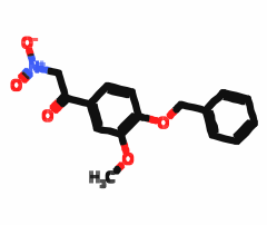 COc1cc(C(=O)C[N+](=O)[O-])ccc1OCc1ccccc1